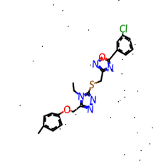 CCn1c(COc2ccc(C)cc2)nnc1SCc1noc(-c2cccc(Cl)c2)n1